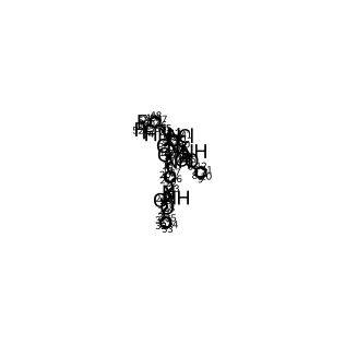 C[C@@]1(NC(=O)OCc2ccccc2)C[C@@H](C(=O)NCc2ccc(C=NNC(=O)OCc3ccccc3)cc2)n2c1c(Cl)nc(NCc1cccc(C(F)(F)F)c1)c2=O